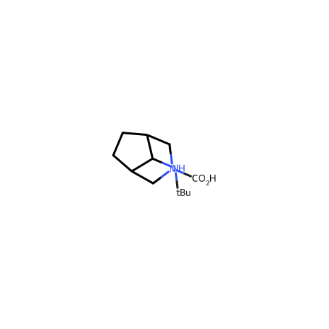 CC(C)(C)NC1C2CCC1CN(C(=O)O)C2